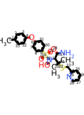 Cc1ccc(Oc2ccc(S(=O)(=O)N(O)[C@@H](C(N)=O)C(C)(C)SCc3ccccn3)cc2)cc1